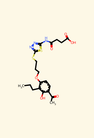 CCCc1c(OCCCSc2nnc(NC(=O)CCC(=O)O)s2)ccc(C(C)=O)c1O